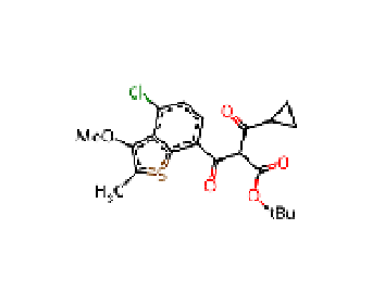 COc1c(C)sc2c(C(=O)C(C(=O)OC(C)(C)C)C(=O)C3CC3)ccc(Cl)c12